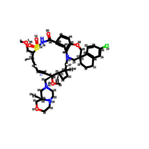 COCC1[C@@H](C)C/C=C/[C@@](CN2CCN3CCOC[C@@H]3C2)(OC)[C@@H]2CC[C@H]2CN2C[C@@]3(CCCc4cc(Cl)ccc43)COc3ccc(cc32)C(=O)NS1(=O)=O